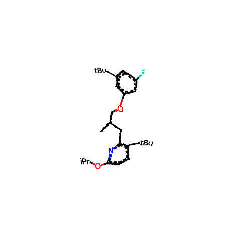 CC(COc1cc(F)cc(C(C)(C)C)c1)Cc1nc(OC(C)C)ccc1C(C)(C)C